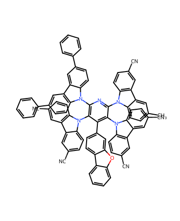 Cc1ccc2c(c1)c1cc(C#N)ccc1n2-c1nc(-n2c3ccc(-c4ccccc4)cc3c3cc(-c4ccccc4)ccc32)c(-n2c3ccc(C#N)cc3c3cc(C#N)ccc32)c(-c2ccc3c(c2)oc2ccccc23)c1-n1c2ccc(C#N)cc2c2cc(C#N)ccc21